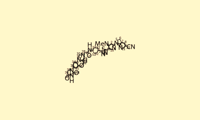 CNc1cc(N2CCc3cc(C#N)cnc32)ncc1-c1nnc(C2CCC(NC(=O)CN3CCN4c5ccc(N6CCC(=O)NC6=O)cc5OC[C@H]4C3)CC2)s1